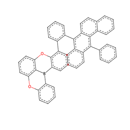 c1ccc(-c2c3ccccc3c(-c3ccccc3-c3cccc4c3Oc3cccc5c3B4c3ccccc3O5)c3ccc4ccccc4c23)cc1